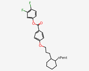 CCCCCC1CCCCC1CCCOc1ccc(C(=O)Oc2ccc(F)c(F)c2)cc1